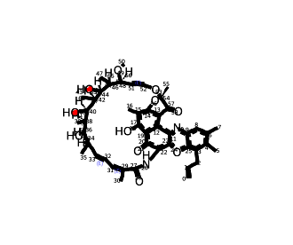 C=CCc1c(C)c(C)cc2nc3c4c5c6c(C)c(O)c4c(=O)c(c-3oc12)NC(=O)/C(C)=C\C=C\[C@H](C)[C@H](O)[C@@H](C)[C@@H](O)[C@@H](C)[C@H](O)[C@H](C)[C@@H](OC)/C=C/O[C@@](C)(O6)C5=O